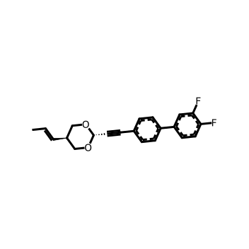 C/C=C/[C@H]1CO[C@H](C#Cc2ccc(-c3ccc(F)c(F)c3)cc2)OC1